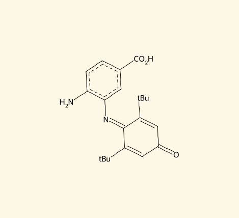 CC(C)(C)C1=CC(=O)C=C(C(C)(C)C)C1=Nc1cc(C(=O)O)ccc1N